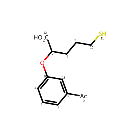 CC(=O)c1cccc(OC(CCCS)C(=O)O)c1